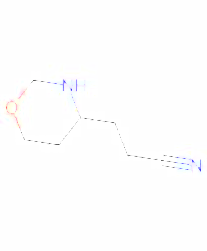 N#CCCC1CCOCN1